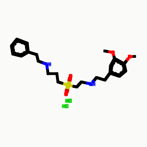 COc1ccc(CCNCCS(=O)(=O)CCCNCCc2ccccc2)cc1OC.Cl.Cl